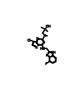 CN(CC(C)(C)O)c1nc(NCc2nc3c(F)cccc3[nH]2)n2ncc(Cl)c2n1